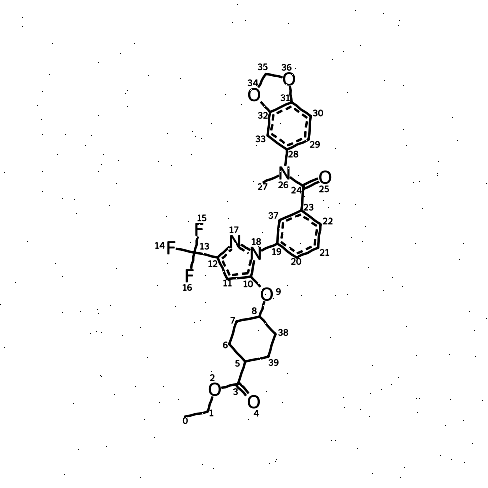 CCOC(=O)C1CCC(Oc2cc(C(F)(F)F)nn2-c2cccc(C(=O)N(C)c3ccc4c(c3)OCO4)c2)CC1